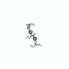 CNC1CCN(c2ccc(N(C)C(=O)c3ccc(OCC(C)C)cc3)cn2)C1